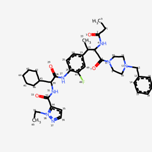 CCC(=O)NC(C(=O)N1CCN(Cc2ccccc2)CC1)C(C)c1ccc(NC(=O)C(NC(=O)c2ccnn2CC)C2CCCCC2)c(F)c1